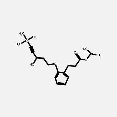 CC(C)OC(=O)CCc1ccccc1OCCC(O)C#C[Si](C)(C)C